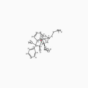 Cl.NCC[N+]12CCC(CC1)[C@@H](C(=O)C(O)(c1ccccc1)c1ccccc1)C2.[Cl-]